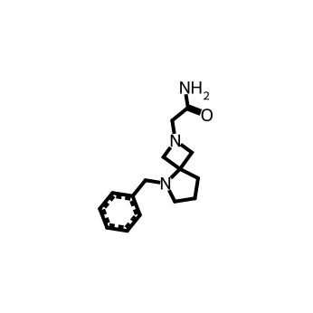 NC(=O)CN1CC2(CCCN2Cc2ccccc2)C1